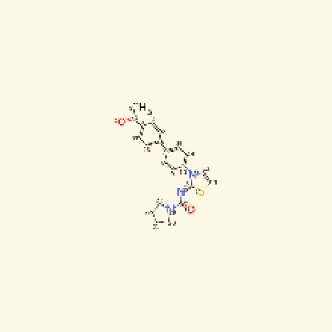 CC(=O)c1ccc(-c2ccc(-n3ccsc3=NC(=O)N3CCCC3)cc2)cc1